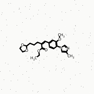 CCOC(=O)/C(=C\c1ccc(-n2cnc(C)c2)c(OC)c1)CCCC1OCCO1